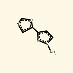 Nn1ccc(-c2cnco2)n1